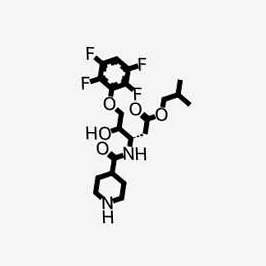 CC(C)COC(=O)C[C@H](NC(=O)C1CCNCC1)C(O)COc1c(F)c(F)cc(F)c1F